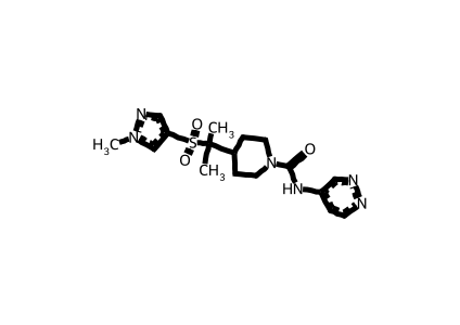 Cn1cc(S(=O)(=O)C(C)(C)C2CCN(C(=O)Nc3ccnnc3)CC2)cn1